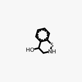 OC1CNSc2ccccc21